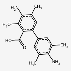 Cc1cc(-c2cc(C)c(N)c(C)c2C(=O)O)cc(C)c1N